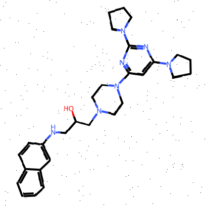 OC(CNc1ccc2ccccc2c1)CN1CCN(c2cc(N3CCCC3)nc(N3CCCC3)n2)CC1